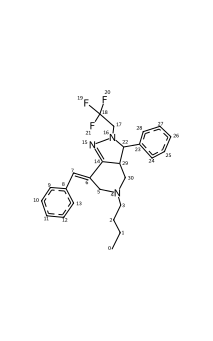 CCCCN1C/C(=C\c2ccccc2)C2=NN(CC(F)(F)F)C(c3ccccc3)C2C1